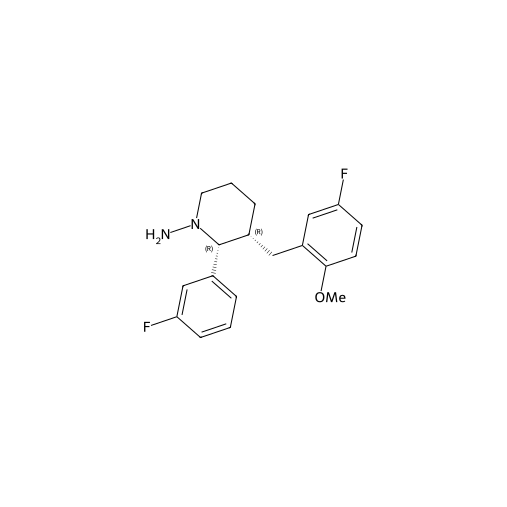 COc1ccc(F)cc1C[C@H]1CCCN(N)[C@H]1c1cccc(F)c1